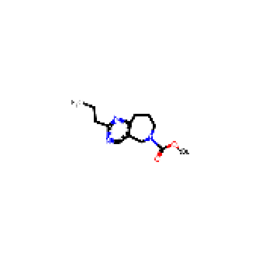 CC(C)(C)OC(=O)N1CCCc2nc(CCC(F)(F)F)ncc2C1